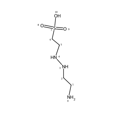 NCCNNCCS(=O)(=O)O